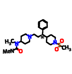 CNC(=O)N(C)C1CCN(CC[C@@H](c2ccccc2)C2CCN(S(C)(=O)=O)CC2)CC1